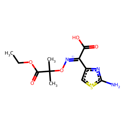 CCOC(=O)C(C)(C)O/N=C(/C(=O)O)c1csc(N)n1